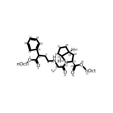 CCCCCCCCOC(=O)C(CCN[C@@H](C)C(=O)N1[C@H](C(=O)OCCCCCCCC)C[C@@H]2CCC[C@@H]21)c1ccccc1